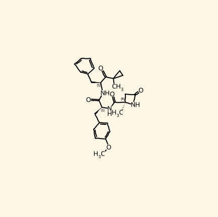 COc1ccc(C[C@H](NC(=O)[C@@]2(C)CC(=O)N2)C(=O)N[C@@H](Cc2ccccc2)C(=O)C2(C)CC2)cc1